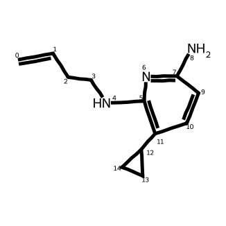 C=CCCNc1nc(N)ccc1C1CC1